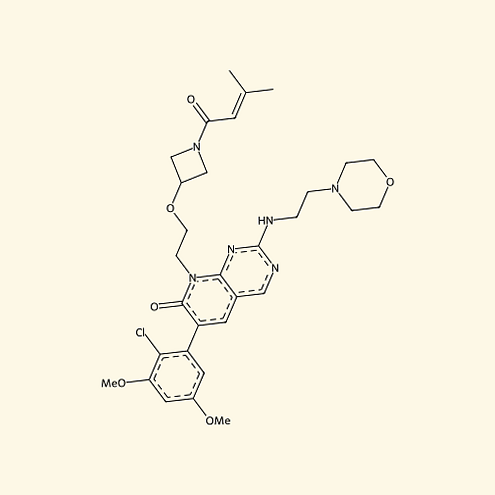 COc1cc(OC)c(Cl)c(-c2cc3cnc(NCCN4CCOCC4)nc3n(CCOC3CN(C(=O)C=C(C)C)C3)c2=O)c1